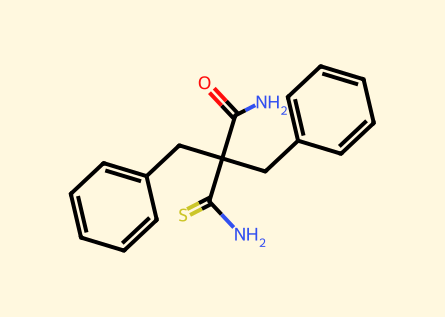 NC(=O)C(Cc1ccccc1)(Cc1ccccc1)C(N)=S